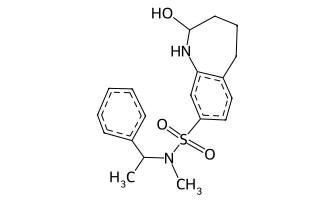 CC(c1ccccc1)N(C)S(=O)(=O)c1ccc2c(c1)NC(O)CCC2